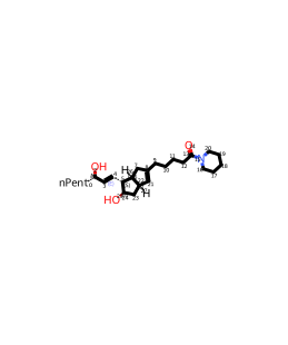 CCCCC[C@H](O)/C=C/[C@@H]1[C@H]2CC(CCCCC(=O)N3CCCCC3)=C[C@H]2C[C@H]1O